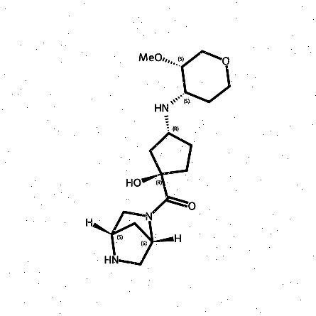 CO[C@@H]1COCC[C@@H]1N[C@@H]1CC[C@](O)(C(=O)N2C[C@@H]3C[C@H]2CN3)C1